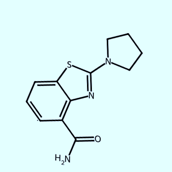 NC(=O)c1[c]ccc2sc(N3CCCC3)nc12